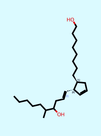 CCCCCC(C)C(O)C/C=C/[C@H]1C=CC[C@@H]1CCCCCCCCO